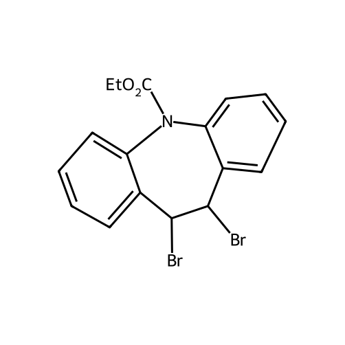 CCOC(=O)N1c2ccccc2C(Br)C(Br)c2ccccc21